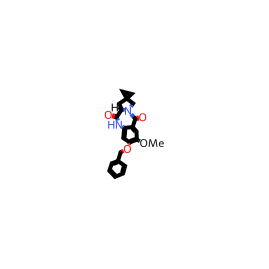 COc1cc2c(cc1OCc1ccccc1)NC(=O)[C@@H]1CC3(CC3)CN1C2=O